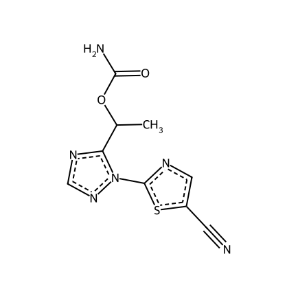 CC(OC(N)=O)c1ncnn1-c1ncc(C#N)s1